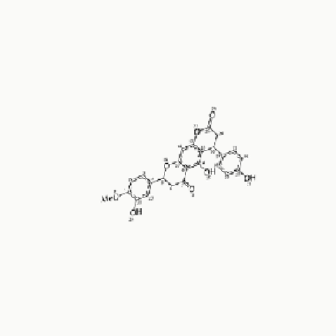 COc1ccc(C2CC(=O)c3c(cc4c(c3O)C(c3ccc(O)cc3)CC(=O)O4)O2)cc1O